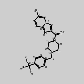 O=C(c1cn2cc(Br)ccc2n1)N1CCN(Cc2ccc(C(F)(F)F)cc2)CC1